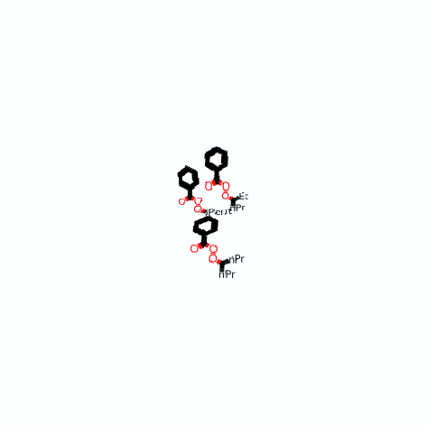 CCCC(C)OOC(=O)c1ccccc1.CCCC(CC)OOC(=O)c1ccccc1.CCCC(CCC)OOC(=O)c1ccccc1